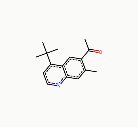 CC(=O)c1cc2c(C(C)(C)C)ccnc2cc1C